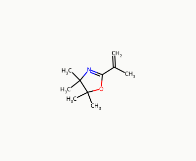 C=C(C)C1=NC(C)(C)C(C)(C)O1